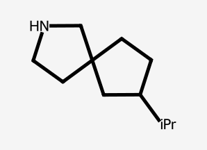 CC(C)C1CCC2(CCNC2)C1